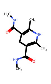 CNC(=O)C1=C(C)NC(C)=C(C(=O)NC)C1